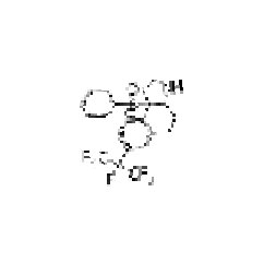 O=S(=O)(c1ccccc1)C12CCNC1CCc1cc(C(F)(C(F)(F)F)C(F)(F)F)ccc12